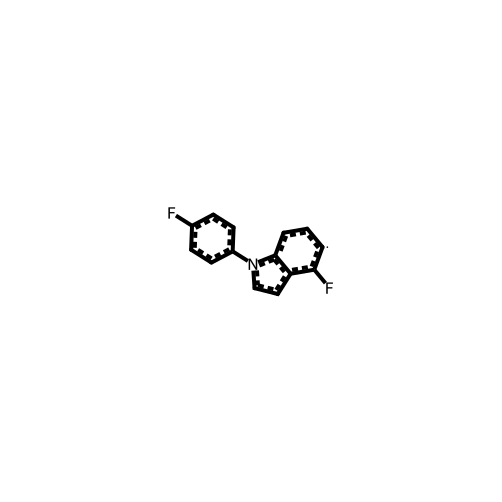 Fc1ccc(-n2ccc3c(F)[c]ccc32)cc1